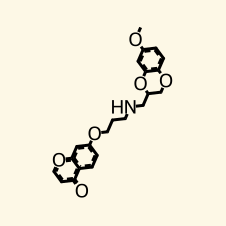 COc1ccc2c(c1)OC(CNCCCOc1ccc3c(=O)ccoc3c1)CO2